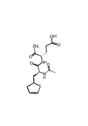 CC(=O)N[C@@H](CC1CC=CS1)C(=O)N[C@@H](CCC(=O)O)C(=O)O